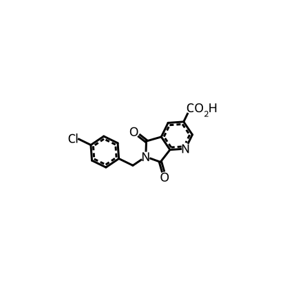 O=C(O)c1cnc2c(c1)C(=O)N(Cc1ccc(Cl)cc1)C2=O